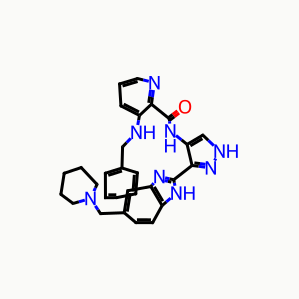 O=C(Nc1c[nH]nc1-c1nc2cc(CN3CCCCC3)ccc2[nH]1)c1ncccc1NCc1ccccc1